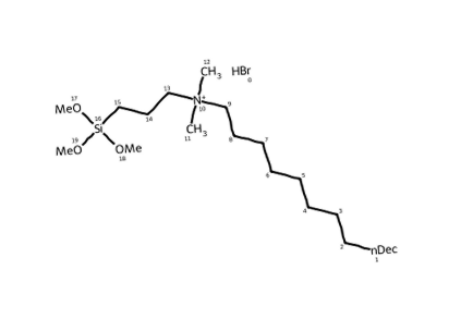 Br.CCCCCCCCCCCCCCCCCC[N+](C)(C)CCC[Si](OC)(OC)OC